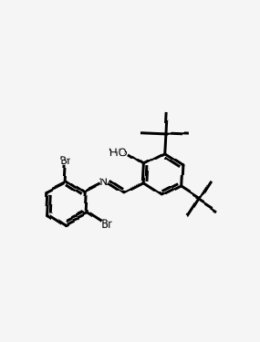 CC(C)(C)c1cc(/C=N/c2c(Br)cccc2Br)c(O)c(C(C)(C)C)c1